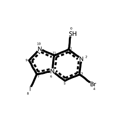 Sc1nc(Br)cn2c(I)cnc12